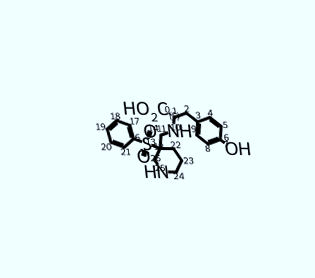 O=C(O)[C@H](Cc1ccc(O)cc1)NCC1(S(=O)(=O)c2ccccc2)CCCNC1